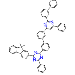 CC1(C)c2ccccc2-c2ccc(-c3nc(-c4ccccc4)nc(-c4cccc(-c5cccc(-c6cc(-c7ccccc7)nc(-c7cccc(-c8ccccc8)c7)n6)c5)c4)n3)cc21